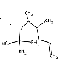 BC(B)(CC(C)C(C)CC=C)C(C)(C)C